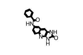 O=C(Nc1ccc2nc3[nH]c(=O)[nH]c3cc2c1)c1ccccc1